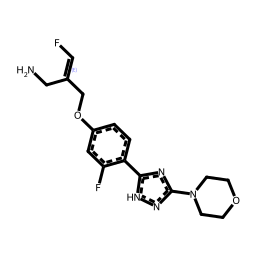 NC/C(=C\F)COc1ccc(-c2nc(N3CCOCC3)n[nH]2)c(F)c1